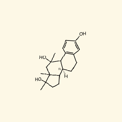 CC1(O)CC2(C)C(CCC2(C)O)[C@@H]2CCc3cc(O)ccc3C21